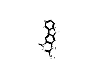 COc1cc2c(cc1NC(N)=S)oc1ccccc12